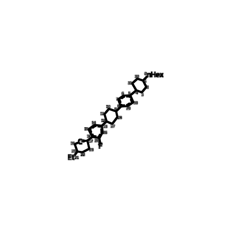 CCCCCCC1CCC(c2ccc(C3CCC(c4ccc(C5CCC(CC)CC5)c(F)c4)CC3)cc2)CC1